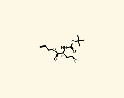 C=CCOC(=O)[C@H](CCO)NC(=O)OC(C)(C)C